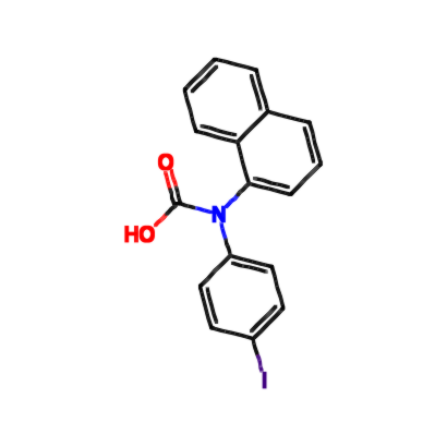 O=C(O)N(c1ccc(I)cc1)c1cccc2ccccc12